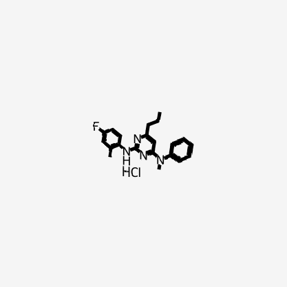 CCCc1cc(N(C)c2ccccc2)nc(Nc2ccc(F)cc2C)n1.Cl